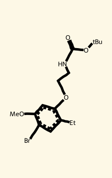 CCc1cc(Br)c(OC)cc1OCCNC(=O)OC(C)(C)C